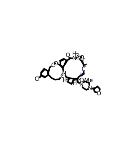 CO[C@@]1(CN2CCN([C@H]3CCOC3)CC2)/C=C/C[C@H](C)[C@@H](C)S(=O)(=O)NC(=O)c2ccc3c(c2)N(CCCCc2cc(Cl)ccc2CCO3)C[C@@H]2CC[C@H]21